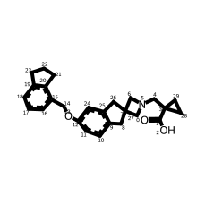 O=C(O)C1(CN2CC3(Cc4ccc(OCc5cccc6c5CCC6)cc4C3)C2)CC1